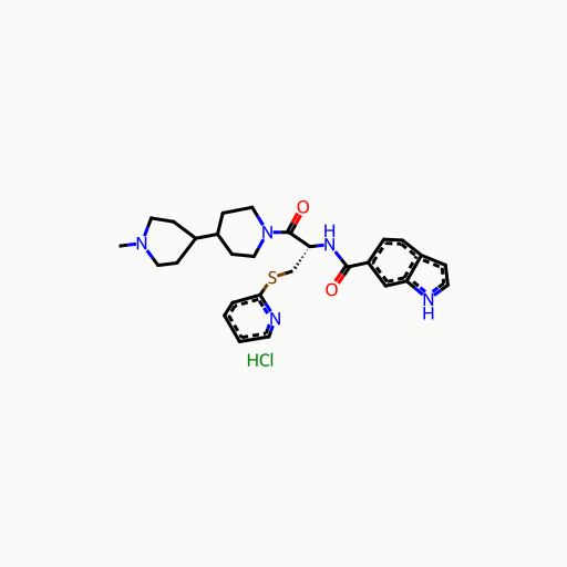 CN1CCC(C2CCN(C(=O)[C@@H](CSc3ccccn3)NC(=O)c3ccc4cc[nH]c4c3)CC2)CC1.Cl